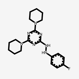 Fc1ccc(NNc2nc(N3CCCCC3)nc(N3CCCCC3)n2)cc1